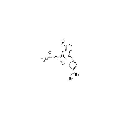 CN(Cc1c(C=O)cccc1SCc1ccc(C(Br)CBr)cc1)C(C=O)CCC(N)=O